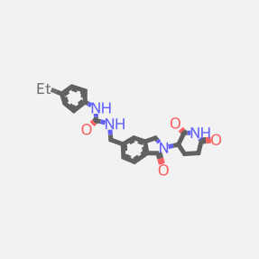 CCc1ccc(NC(=O)NCc2ccc3c(c2)CN(C2CCC(=O)NC2=O)C3=O)cc1